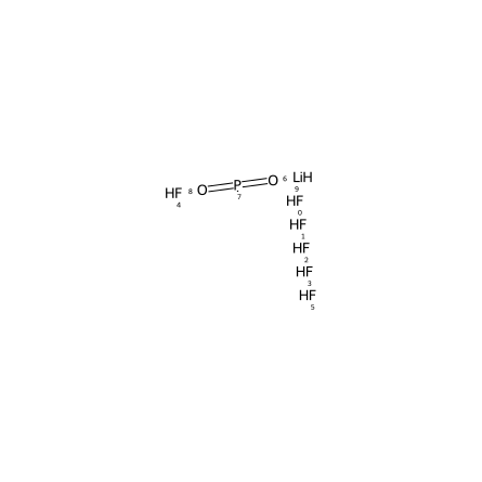 F.F.F.F.F.F.O=[P]=O.[LiH]